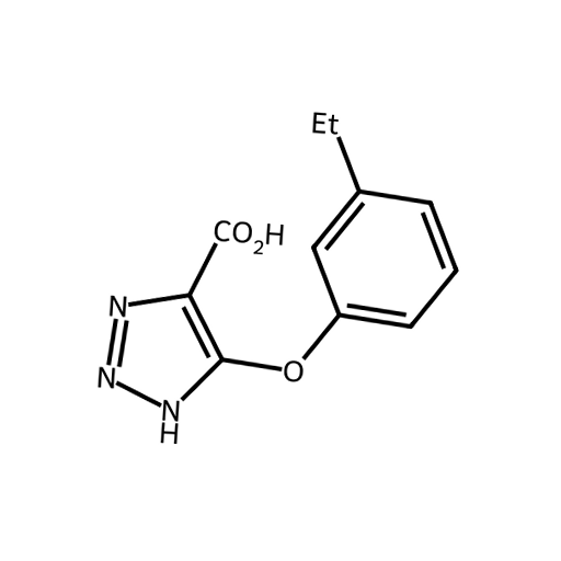 CCc1cccc(Oc2[nH]nnc2C(=O)O)c1